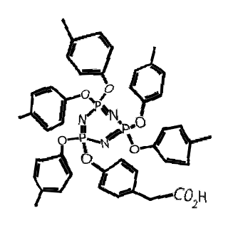 Cc1ccc(OP2(Oc3ccc(C)cc3)=NP(Oc3ccc(C)cc3)(Oc3ccc(C)cc3)=NP(Oc3ccc(C)cc3)(Oc3ccc(CC(=O)O)cc3)=N2)cc1